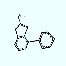 CCCC(C)C1=Cc2c(cccc2-c2ccccc2)[CH]1